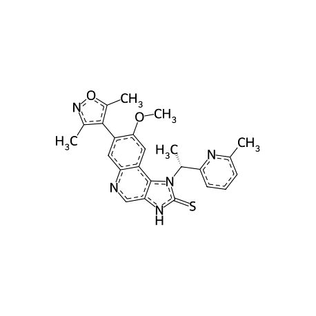 COc1cc2c(cc1-c1c(C)noc1C)ncc1[nH]c(=S)n([C@H](C)c3cccc(C)n3)c12